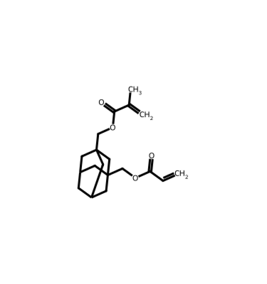 C=CC(=O)OCC12CC3CC(C1)CC(COC(=O)C(=C)C)(C3)C2